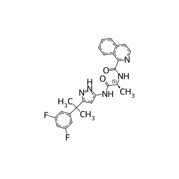 C[C@H](NC(=O)c1nccc2ccccc12)C(=O)Nc1cc(C(C)(C)c2cc(F)cc(F)c2)n[nH]1